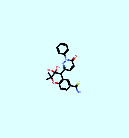 CC1(C)Oc2ccc(C(N)=S)cc2C(c2ccc(=O)n(-c3ccccc3)n2)C1(O)O